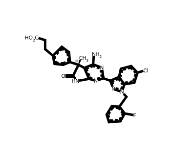 C[C@]1(c2ccc(CCC(=O)O)cc2)C(=O)Nc2nc(-c3nn(Cc4ccccc4F)c4cc(Cl)ccc34)nc(N)c21